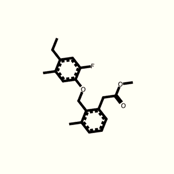 CCc1cc(F)c(OCc2c(C)cccc2CC(=O)OC)cc1C